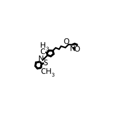 Cc1cc(CCCCC(=O)c2ccon2)ccc1-c1nc2cccc(C)c2s1